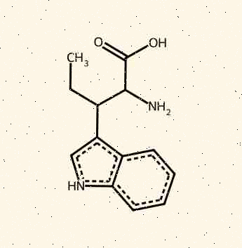 CCC(c1c[nH]c2ccccc12)C(N)C(=O)O